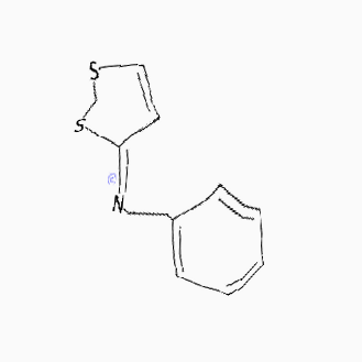 c1ccc(/N=c2\ccss2)cc1